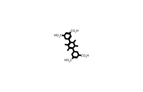 CC1=C(C2=CC(C(=O)O)=CC(C(=O)O)C2)C(C)C(C)C(C2CC(C(=O)O)=CC(C(=O)O)C2)=C1C